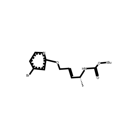 C[C@H](/C=C/COc1cc(Br)ccn1)NC(=O)OC(C)(C)C